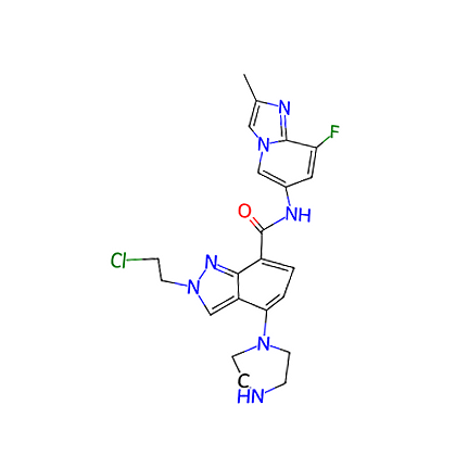 Cc1cn2cc(NC(=O)c3ccc(N4CCNCC4)c4cn(CCCl)nc34)cc(F)c2n1